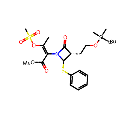 COC(=O)/C(=C(/C)OS(C)(=O)=O)N1C(=O)[C@H](CCO[Si](C)(C)C(C)(C)C)[C@H]1Sc1ccccc1